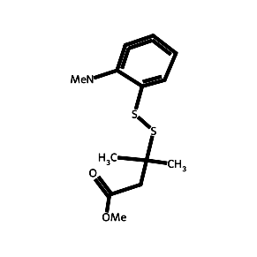 CNC1=C=C=CC=C1SSC(C)(C)CC(=O)OC